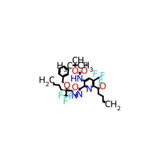 C=CCCC(=O)c1nc(-c2nnc([C@@](CCC=C)(OCc3ccccc3)C(F)(F)F)o2)c(NC(=O)OC(C)(C)C)cc1C(F)(F)F